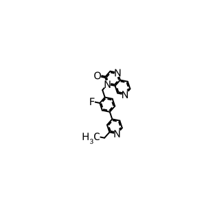 CCc1cc(-c2ccc(Cn3c(=O)cnc4ccncc43)c(F)c2)ccn1